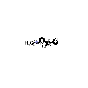 CO/N=C/c1cccc(-c2sc(-c3cccnc3)nc2Cl)n1